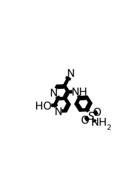 N#Cc1cnc2c(O)nccc2c1Nc1ccc(S(N)(=O)=O)cc1